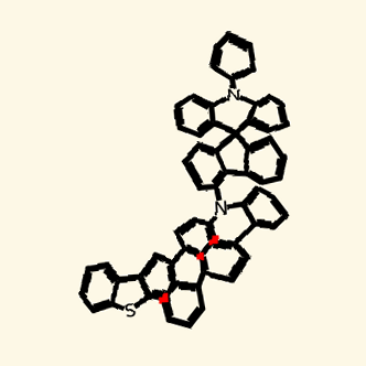 c1ccc(-c2ccc(-c3ccccc3N(c3ccc(-c4ccc5sc6ccccc6c5c4)cc3)c3cccc4c3-c3ccccc3C43c4ccccc4N(c4ccccc4)c4ccccc43)cc2)cc1